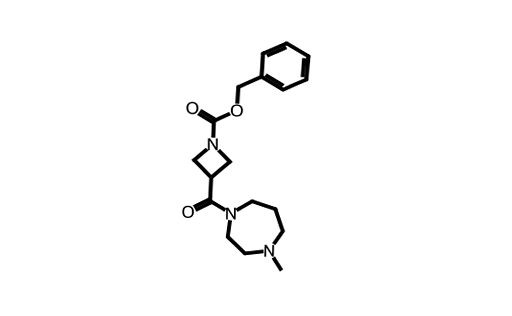 CN1CCCN(C(=O)C2CN(C(=O)OCc3ccccc3)C2)CC1